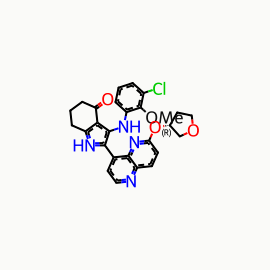 COc1c(Cl)cccc1Nc1c(-c2ccnc3ccc(O[C@@H]4CCOC4)nc23)[nH]c2c1C(=O)CCC2